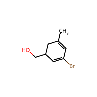 CC1=CC(Br)=CC(CO)C1